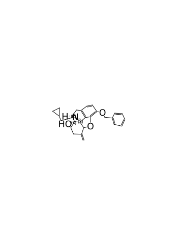 C=C1CC[C@@]2(O)[C@H]3Cc4ccc(OCc5ccccc5)c5c4[C@@]2(CCN3CC2CC2)C1O5